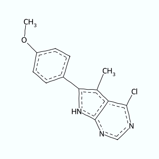 COc1ccc(-c2[nH]c3ncnc(Cl)c3c2C)cc1